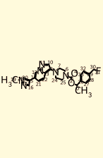 CC(OC(=O)N1CCN(c2cnn3cc(-c4cnn(C)c4)ccc23)CC1)c1ccc(CF)cc1